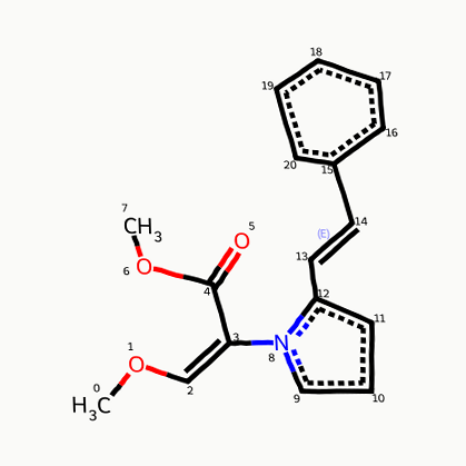 COC=C(C(=O)OC)n1cccc1/C=C/c1ccccc1